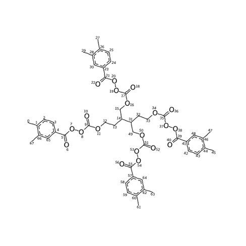 Cc1ccc(C(=O)OOC(=O)OCCC(COC(=O)OOC(=O)c2ccc(C)c(C)c2)C(CCOC(=O)OOC(=O)c2ccc(C)c(C)c2)COC(=O)OOC(=O)c2ccc(C)c(C)c2)cc1C